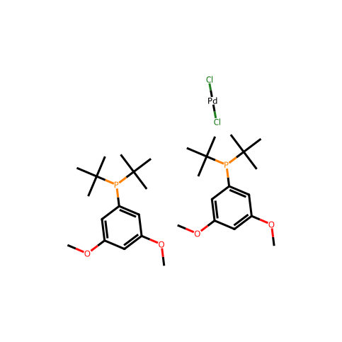 COc1cc(OC)cc(P(C(C)(C)C)C(C)(C)C)c1.COc1cc(OC)cc(P(C(C)(C)C)C(C)(C)C)c1.[Cl][Pd][Cl]